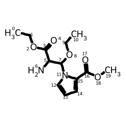 CCOC(=O)C(N)C(OCC)n1cccc1C(=O)OC